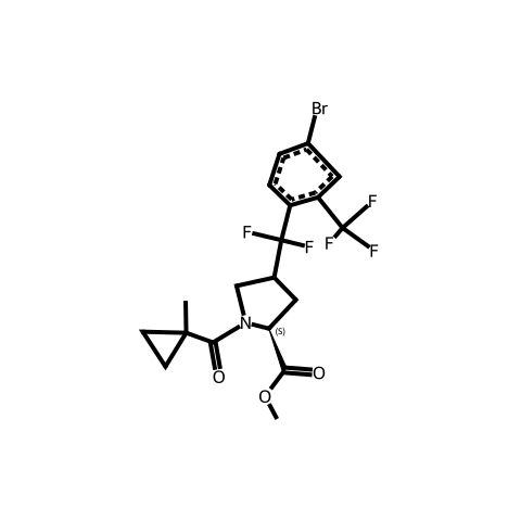 COC(=O)[C@@H]1CC(C(F)(F)c2ccc(Br)cc2C(F)(F)F)CN1C(=O)C1(C)CC1